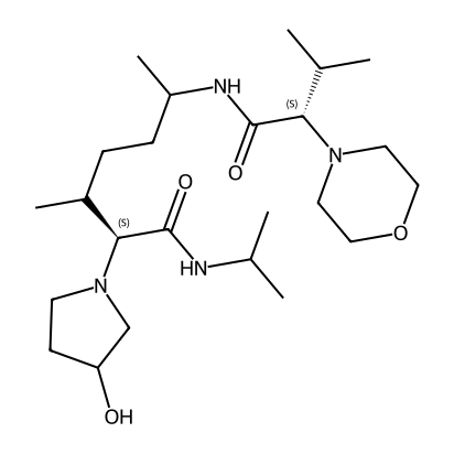 CC(C)NC(=O)[C@H](C(C)CCC(C)NC(=O)[C@H](C(C)C)N1CCOCC1)N1CCC(O)C1